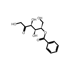 O=C(O[C@H](CO)[C@@H](O)[C@H](O)C(=O)CO)c1ccccc1